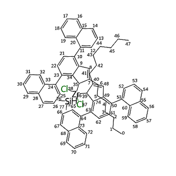 CCCCCCCC1=Cc2c(-c3cccc4ccccc34)ccc(-c3cccc4ccccc34)c2[CH]1[Zr]([Cl])([Cl])([CH]1C(CCCCCCC)=Cc2c(-c3cccc4ccccc34)ccc(-c3cccc4ccccc34)c21)[SiH](C)C